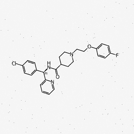 O=C(N[C@H](c1ccc(Cl)cc1)c1ccccn1)C1CCN(CCOc2ccc(F)cc2)CC1